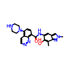 Cc1c(O)c(NC(=O)c2ccc(N3CCNCC3)c3ccnnc23)cc2cn(C)nc12